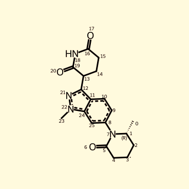 C[C@@H]1C[CH]CC(=O)N1c1ccc2c(C3CCC(=O)NC3=O)nn(C)c2c1